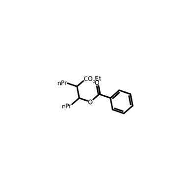 CCCC(OC(=O)c1ccccc1)C(CCC)C(=O)OCC